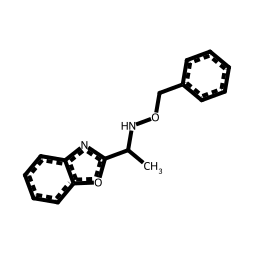 CC(NOCc1ccccc1)c1nc2ccccc2o1